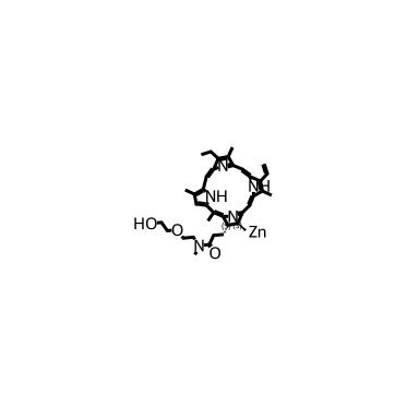 C=Cc1c(C)c2cc3nc(c(C)c4cc(C)c(cc5nc(cc1[nH]2)C(C)=C5CC)[nH]4)[C@@H](CCC(=O)N(C)CCOCCO)[C@@H]3C.[Zn]